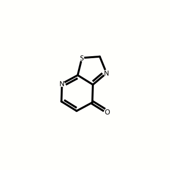 O=C1C=CN=C2SCN=C12